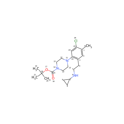 Cc1cc(CCNC2CC2)c(N2CCN(C(=O)OC(C)(C)C)CC2)cc1Cl